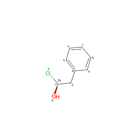 O[C@@H](Cl)Cc1ccccc1